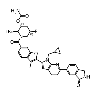 Cc1c(-c2cc3ccc(-c4ccc5c(c4)C(=O)NC5)nc3n2CC2CC2)oc2cc(C(=O)N3C[C@H](F)C[C@@H](OC(N)=O)C3C(C)(C)C)ccc12